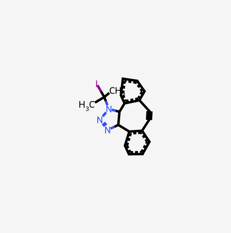 CC(C)(I)N1N=NC2c3ccccc3C#Cc3ccccc3C21